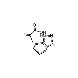 C=C(C)C(=O)O.c1ccc2[nH]nnc2c1